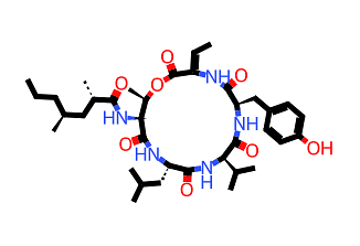 C/C=C1\NC(=O)[C@@H](Cc2ccc(O)cc2)NC(=O)[C@@H](C(C)C)NC(=O)[C@H](CC(C)C)NC(=O)[C@@H](NC(=O)[C@@H](C)C[C@@H](C)CCC)[C@@H](C)OC1=O